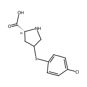 O=C(O)[C@H]1CC(Sc2ccc(Cl)cc2)CN1